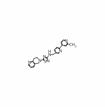 Cc1cc(-c2ccc(CNc3nsc(N4CCc5ncccc5C4)n3)cn2)ccn1